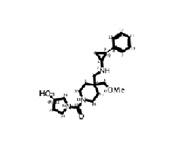 COCC1(CNC2C[C@H]2c2ccccc2)CCN(C(=O)N2CC[C@@H](O)C2)CC1